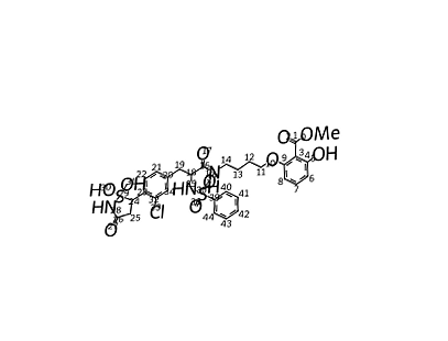 COC(=O)c1c(O)cccc1OCCCCNC(=O)C(Cc1ccc(C2CC(=O)NS2(O)O)c(Cl)c1)NS(=O)(=O)c1ccccc1